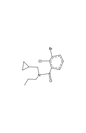 CCCN(CC1CC1)C(=O)c1cccc(Br)c1Cl